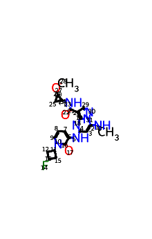 CNc1cc(Nc2cccn([C@H]3C[C@H](F)C3)c2=O)nc2c(C(=O)N[C@H]3C[C@@H]3OC)cnn12